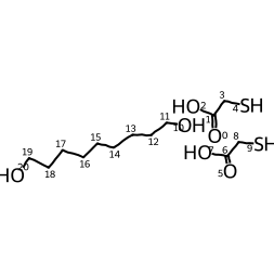 O=C(O)CS.O=C(O)CS.OCCCCCCCCCO